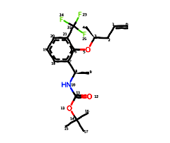 C=CC[C@H](C)Oc1c([C@@H](C)NC(=O)OC(C)(C)C)cccc1C(F)(F)F